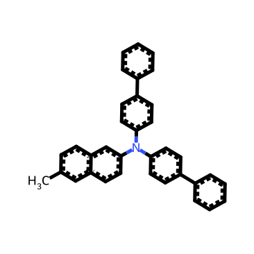 Cc1ccc2cc(N(c3ccc(-c4ccccc4)cc3)c3ccc(-c4ccccc4)cc3)ccc2c1